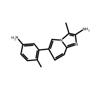 Cc1ccc(N)cc1-c1ccc2nc(N)c(C)n2c1